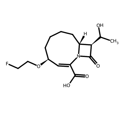 CC(O)[C@H]1C(=O)N2C(C(=O)O)=C[C@@H](OCCF)CCCC[C@H]12